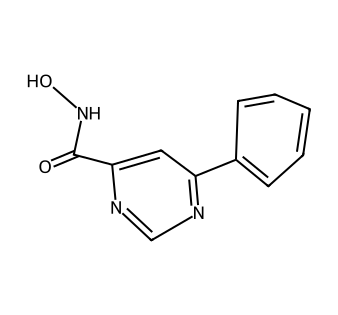 O=C(NO)c1cc(-c2ccccc2)ncn1